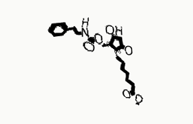 COC(=O)CCCC=CC[C@H]1C(=O)C[C@@H](O)[C@@H]1COC(=O)NCCc1ccccc1